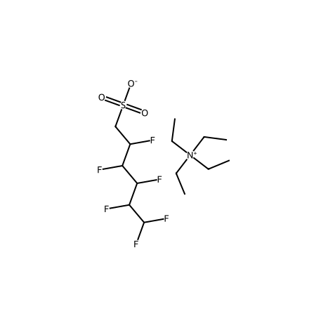 CC[N+](CC)(CC)CC.O=S(=O)([O-])CC(F)C(F)C(F)C(F)C(F)F